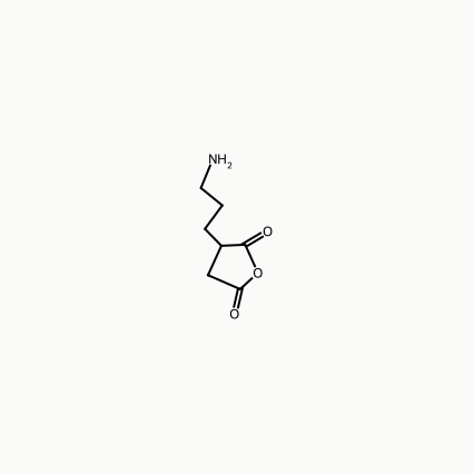 NCCCC1CC(=O)OC1=O